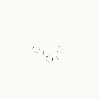 Cc1ccnc2cc(-c3cnc4[nH]cc(C(=O)N[C@H](C)C(=O)N5CC(C#N)C5)c4n3)sc12